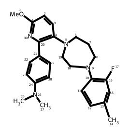 COc1ccc(N2CCCN(c3ccc(C)cc3F)CC2)c(-c2ccc(N(C)C)cc2)n1